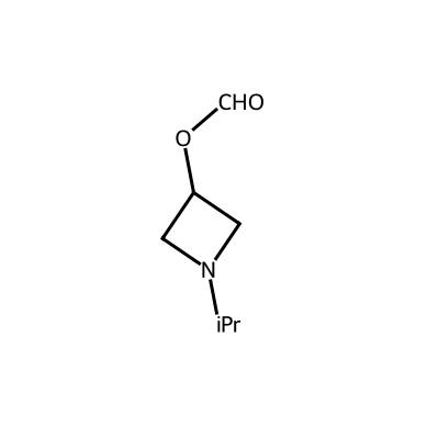 CC(C)N1CC(OC=O)C1